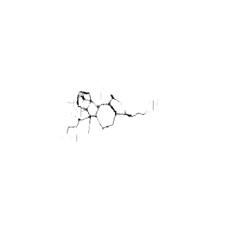 CCC/C=C1\OC(=O)C2=C1CCC1[C@H]2C2(C(=O)O)C=CCC[C@@H]2C1(I)C(=O)CCC